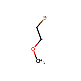 CO[CH]CBr